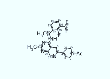 CC(=O)N1CC=C(c2cc3c(N[C@H](C)c4cccc(C(F)F)c4F)nc(C)nc3cn2)CC1